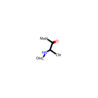 CNC(=O)C(C#N)NC=O